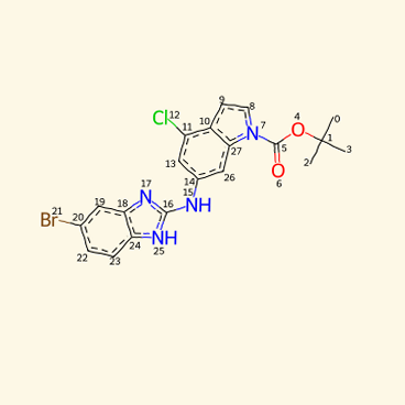 CC(C)(C)OC(=O)n1ccc2c(Cl)cc(Nc3nc4cc(Br)ccc4[nH]3)cc21